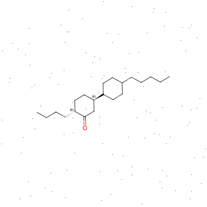 CCCCCC1CCC([C@@H]2CC[C@@H](CCCC)C(=O)C2)CC1